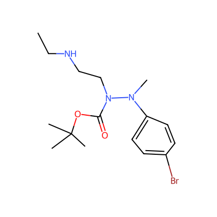 CCNCCN(C(=O)OC(C)(C)C)N(C)c1ccc(Br)cc1